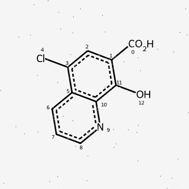 O=C(O)c1cc(Cl)c2cccnc2c1O